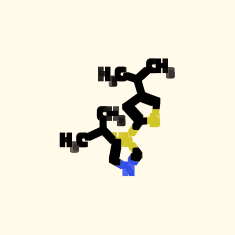 CC(C)C1=CN=C[SH]1c1cc(C(C)C)cs1